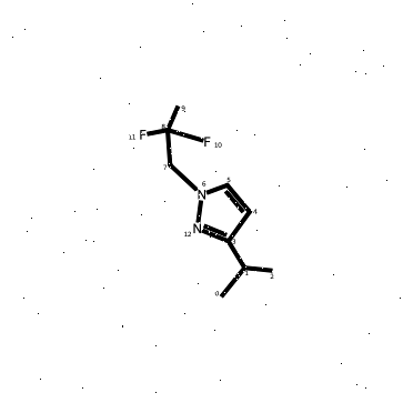 CC(C)c1ccn(CC(C)(F)F)n1